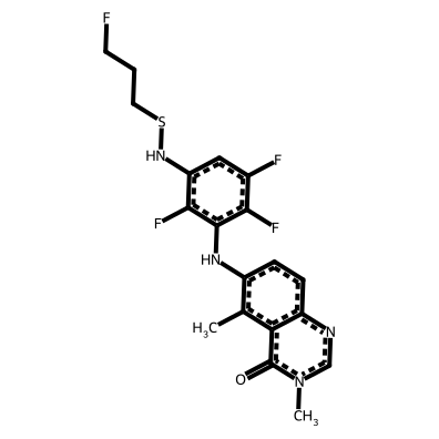 Cc1c(Nc2c(F)c(F)cc(NSCCCF)c2F)ccc2ncn(C)c(=O)c12